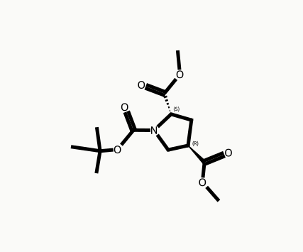 COC(=O)[C@@H]1C[C@@H](C(=O)OC)N(C(=O)OC(C)(C)C)C1